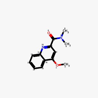 COc1cc(C(=O)N(C)C)nc2ccccc12